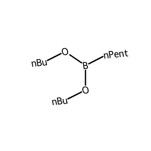 CCCCCB(OCCCC)OCCCC